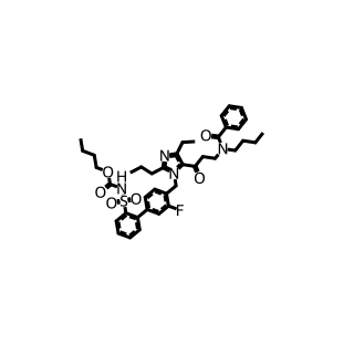 CCCCOC(=O)NS(=O)(=O)c1ccccc1-c1ccc(Cn2c(CCC)nc(CC)c2C(=O)CCN(CCCC)C(=O)c2ccccc2)c(F)c1